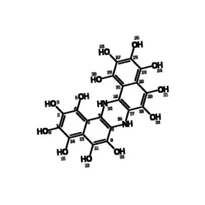 Oc1c(O)c(O)c2c3c(c(O)c(O)c2c1O)Nc1c(O)c(O)c2c(O)c(O)c(O)c(O)c2c1N3